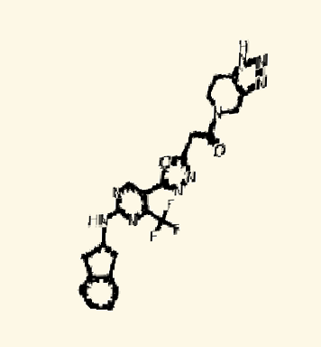 O=C(Cc1nnc(-c2cnc(NC3Cc4ccccc4C3)nc2C(F)(F)F)o1)N1CCc2[nH]nnc2C1